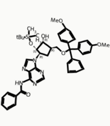 COc1ccc(C(OC[C@H]2C[C@@H](n3cnc4c(NC(=O)c5ccccc5)ncnc43)[C@H](O[Si](C)(C)C(C)(C)C)[C@@H]2O)(c2ccccc2)c2ccc(OC)cc2)cc1